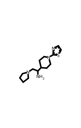 NC(CN1CCCC1)C1CCN(c2nccs2)CC1